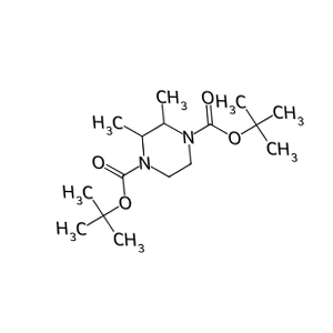 CC1C(C)N(C(=O)OC(C)(C)C)CCN1C(=O)OC(C)(C)C